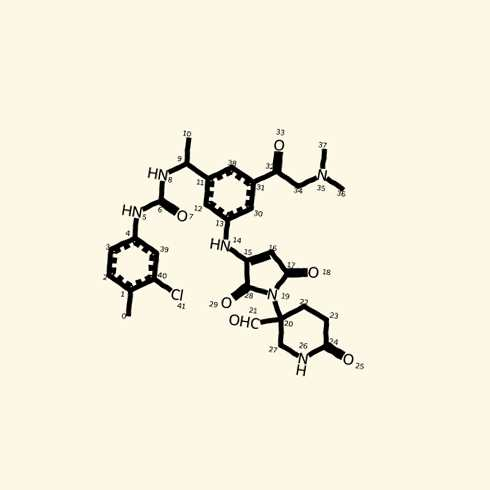 Cc1ccc(NC(=O)NC(C)c2cc(NC3=CC(=O)N(C4(C=O)CCC(=O)NC4)C3=O)cc(C(=O)CN(C)C)c2)cc1Cl